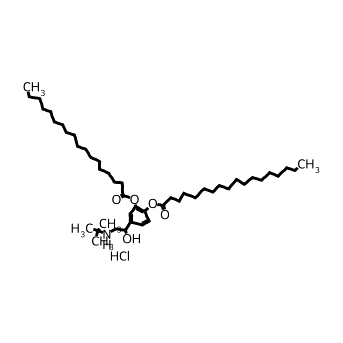 CCCCCCCCCCCCCCCCCC(=O)Oc1ccc(C(O)CNC(C)(C)C)cc1OC(=O)CCCCCCCCCCCCCCCCC.Cl